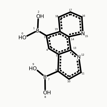 OB(O)c1cc2c(B(O)O)ccnc2c2ncccc12